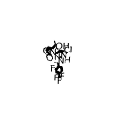 C[C@H](Nc1nc(Cl)cc(N2C(=O)OCC2[C@@H](C)O)n1)c1ccc(C(F)(F)F)cc1F